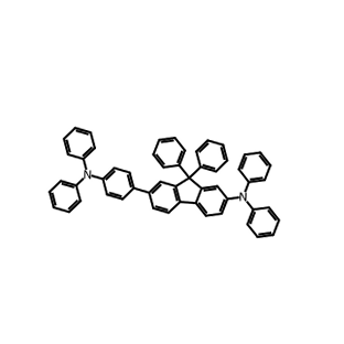 c1ccc(N(c2ccccc2)c2ccc(-c3ccc4c(c3)C(c3ccccc3)(c3ccccc3)c3cc(N(c5ccccc5)c5ccccc5)ccc3-4)cc2)cc1